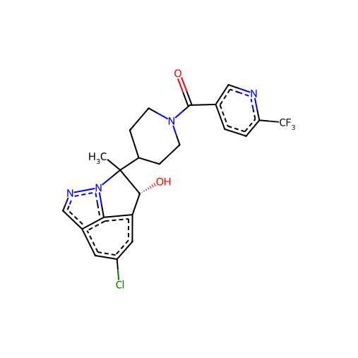 CC1(C2CCN(C(=O)c3ccc(C(F)(F)F)nc3)CC2)[C@H](O)c2cc(Cl)cc3cnn1c23